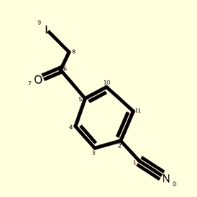 N#Cc1ccc(C(=O)CI)cc1